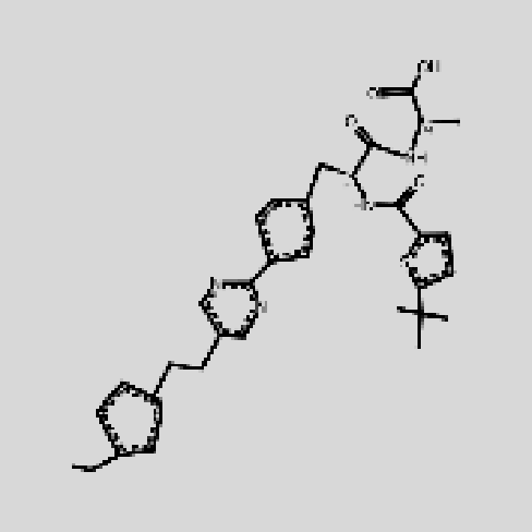 CCc1ccc(CCc2cnc(-c3ccc(C[C@H](NC(=O)c4ccc(C(C)(C)C)s4)C(=O)N[C@H](C)C(=O)O)cc3)nc2)cc1